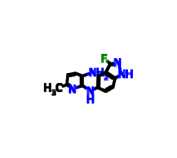 Cc1ccc(N)c(Nc2ccc3[nH]nc(F)c3c2)n1